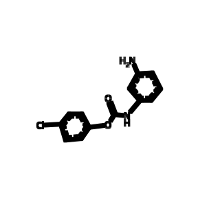 Nc1cccc(NC(=O)Oc2ccc(Cl)cc2)c1